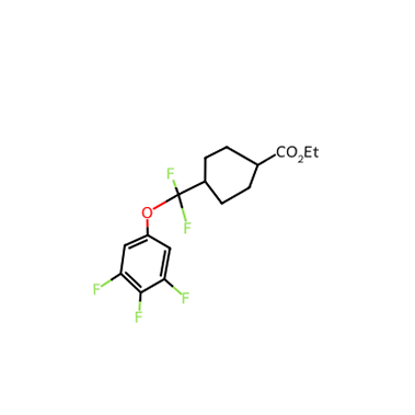 CCOC(=O)C1CCC(C(F)(F)Oc2cc(F)c(F)c(F)c2)CC1